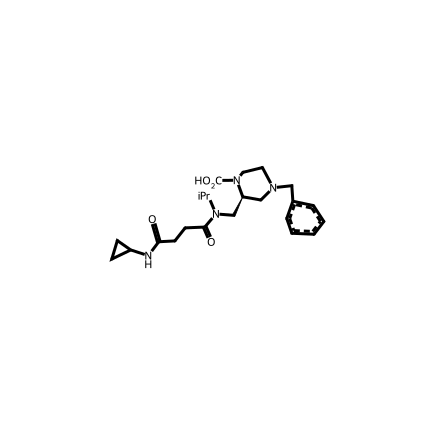 CC(C)N(C[C@@H]1CN(Cc2ccccc2)CCN1C(=O)O)C(=O)CCC(=O)NC1CC1